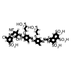 Cc1cc(N=Nc2cc(OCCCS(=O)(=O)O)c(N=Nc3c(C)c(C#N)c4nc5c(Cl)cc(S(=O)(=O)O)cc5n4c3O)cc2C)c(SCCCS(=O)(=O)O)cc1N=Nc1nc2c(S(=O)(=O)O)cc3c(S(=O)(=O)O)cc(S(=O)(=O)O)cc3c2s1